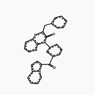 O=C(c1cccc(-n2c(=O)c(Cc3ccccc3)nc3cccnc32)c1)c1ccc2ccccn12